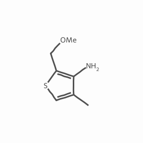 COCc1scc(C)c1N